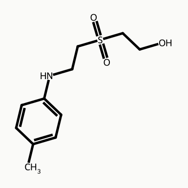 Cc1ccc(NCCS(=O)(=O)CCO)cc1